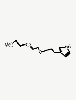 COCCOCCOCCc1cc[nH]c1